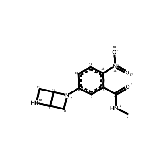 CNC(=O)c1cc(N2CC3NCC32)ccc1[N+](=O)[O-]